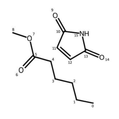 CCCCCC(=O)OC.O=C1C=CC(=O)N1